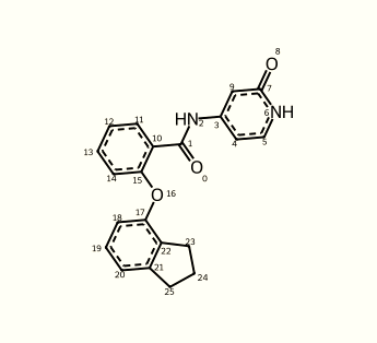 O=C(Nc1cc[nH]c(=O)c1)c1ccccc1Oc1cccc2c1CCC2